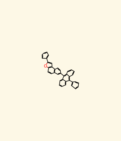 c1ccc(-c2cc3c(ccc4cc(-c5c6ccccc6c(-c6ccccc6)c6ccccc56)ccc43)o2)cc1